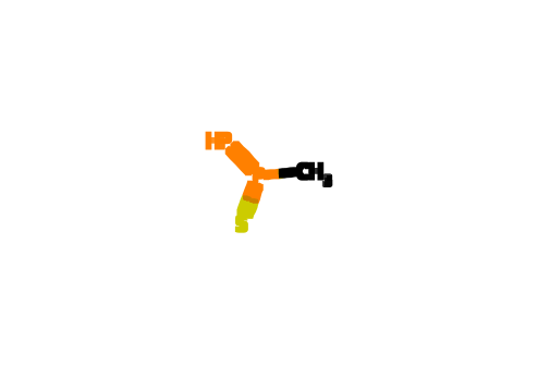 CP(=P)=S